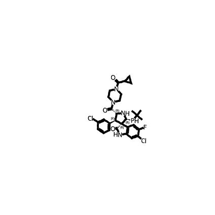 CC(C)(C)P[C@H]1N[C@@H](C(=O)N2CCN(C(=O)C3CC3)CC2)[C@H](c2cccc(Cl)c2)[C@@]12C(=O)Nc1cc(Cl)c(F)cc12